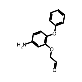 Nc1ccc(Oc2ccccc2)c(OCC=O)c1